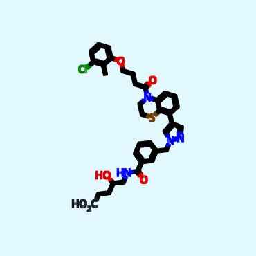 Cc1c(Cl)cccc1OCCCC(=O)N1CCSc2c(-c3cnn(Cc4cccc(C(=O)NCC(O)CCC(=O)O)c4)c3)cccc21